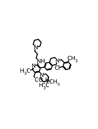 Cc1cccc(Cl)c1CN1CCc2cc(-c3c(NCCCN4CCCCC4)nc(C)c(CC(=O)O)c3N3CCC(C)(C)CC3)ccc2C1